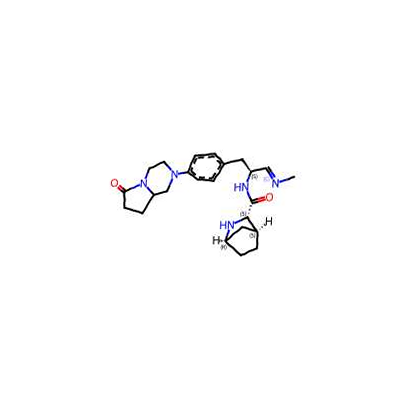 C/N=C/[C@H](Cc1ccc(N2CCN3C(=O)CCC3C2)cc1)NC(=O)[C@H]1N[C@@H]2CC[C@H]1C2